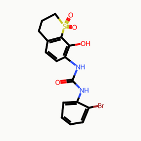 O=C(Nc1ccccc1Br)Nc1ccc2c(c1O)S(=O)(=O)CCC2